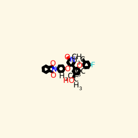 Cc1cc(F)cc(C)c1Oc1ccc(C(C)(C)O)cc1-c1cn(C)c(=O)cc1OC1CCC(N2C(=O)c3ccccc3C2=O)CC1